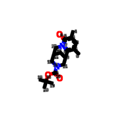 Cc1cc(C)c(=O)n2c1C1CC(CN(C(=O)OC(C)(C)C)C1)C2